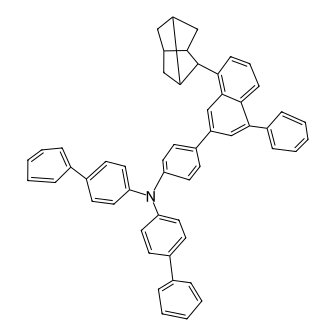 c1ccc(-c2ccc(N(c3ccc(-c4ccccc4)cc3)c3ccc(-c4cc(-c5ccccc5)c5cccc(C6C7CC8CC7CC86)c5c4)cc3)cc2)cc1